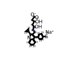 O=C([O-])C[C@H](O)C[C@H](O)/C=C/c1c(C2CC2)nc2ccccc2c1-c1ccc(F)cc1.[Na+]